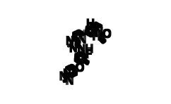 C=CC(=O)N1CC[C@H]2C[C@H](c3ccc4ncnc(Nc5ccc(Oc6ccn7ncnc7c6)c(C)c5F)c4n3)C[C@H]21